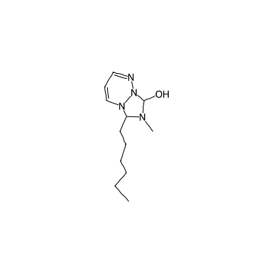 CCCCCCC1N(C)C(O)N2N=CC=CN12